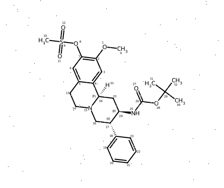 COc1cc2c(cc1OS(C)(=O)=O)CCN1C[C@@H](c3ccccc3)[C@H](NC(=O)OC(C)(C)C)C[C@H]21